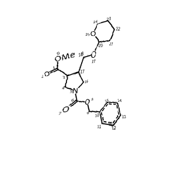 COC(=O)C1CN(C(=O)OCc2ccccc2)CC1COC1CCCCO1